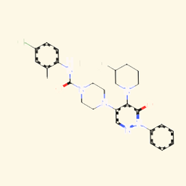 CCOC(=O)C1CCCN(c2c(N3CCN(C(=O)Nc4ccc(Cl)cc4C)CC3)cnn(-c3ccccc3)c2=O)C1